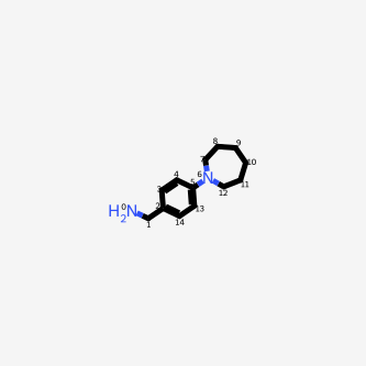 NCc1ccc(N2CCCCCC2)cc1